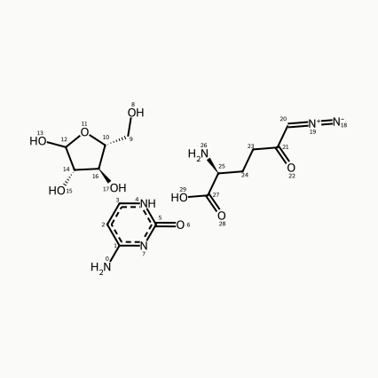 Nc1cc[nH]c(=O)n1.OC[C@H]1OC(O)[C@@H](O)[C@@H]1O.[N-]=[N+]=CC(=O)CC[C@H](N)C(=O)O